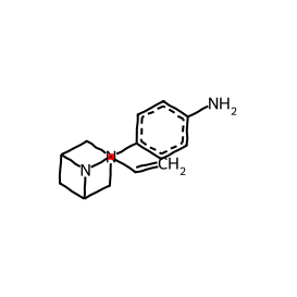 C=CCN1C2CC1CN(c1ccc(N)cc1)C2